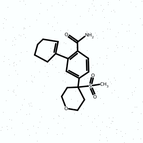 CS(=O)(=O)C1(c2ccc(C(N)=O)c(C3=CCCCC3)c2)CCOCC1